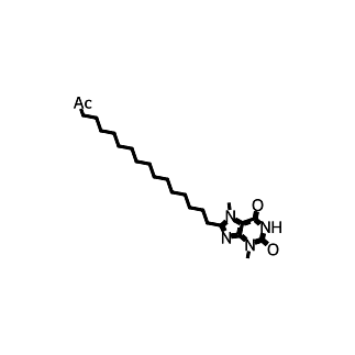 CC(=O)CCCCCCCCCCCCCCCc1nc2c(c(=O)[nH]c(=O)n2C)n1C